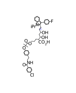 CC(C)n1c(/C=C/C(O)CC(O)C(CCCOC(=O)C(C)(C)Oc2ccc(CCNC(=O)c3ccc(Cl)cc3)cc2)C(=O)O)c(-c2ccc(F)cc2)c2ccccc21